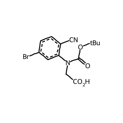 CC(C)(C)OC(=O)N(CC(=O)O)c1cc(Br)ccc1C#N